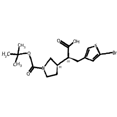 CC(C)(C)OC(=O)N1CC[C@H]([C@H](Cc2csc(Br)c2)C(=O)O)C1